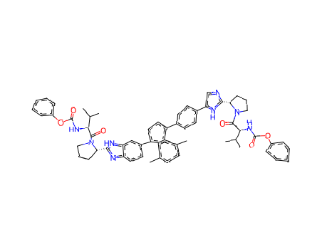 Cc1ccc(C)c2c(-c3ccc4nc([C@@H]5CCCN5C(=O)[C@@H](NC(=O)Oc5ccccc5)C(C)C)[nH]c4c3)ccc(-c3ccc(-c4cnc([C@@H]5CCCN5C(=O)[C@@H](NC(=O)Oc5ccccc5)C(C)C)[nH]4)cc3)c12